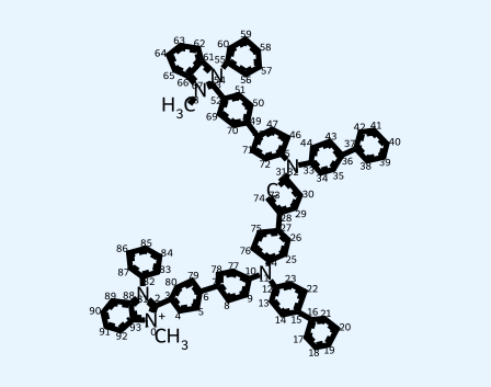 C[n+]1c(-c2ccc(-c3ccc(N(c4ccc(-c5ccccc5)cc4)c4ccc(-c5ccc(N(c6ccc(-c7ccccc7)cc6)c6ccc(-c7ccc(-c8n(-c9ccccc9)c9ccccc9[n+]8C)cc7)cc6)cc5)cc4)cc3)cc2)n(-c2ccccc2)c2ccccc21